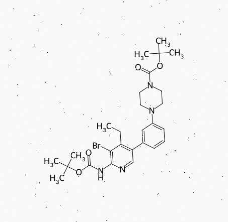 CCc1c(-c2cccc(N3CCN(C(=O)OC(C)(C)C)CC3)c2)cnc(NC(=O)OC(C)(C)C)c1Br